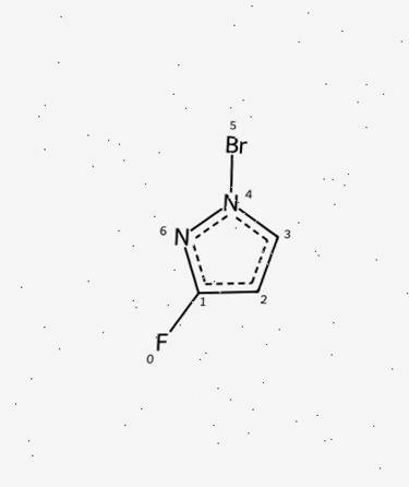 Fc1ccn(Br)n1